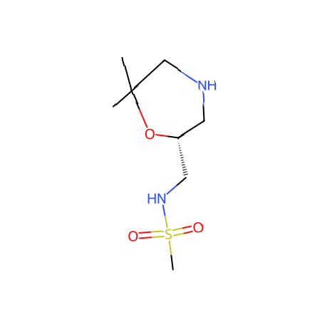 CC1(C)CNC[C@H](CNS(C)(=O)=O)O1